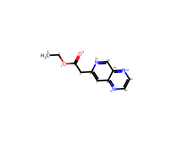 CCOC(=O)Cc1cc2nccnc2cn1